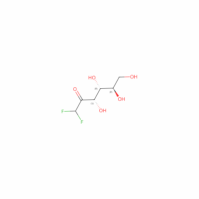 O=C(C(F)F)[C@@H](O)[C@H](O)[C@H](O)CO